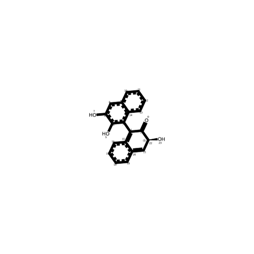 O=C1C(c2c(O)c(O)cc3ccccc23)=c2ccccc2=C[C@@H]1O